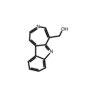 OCc1cnccc2c3ccccc3nc1-2